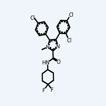 Cn1c(C(=O)NC2CCC(F)(F)CC2)nc(-c2ccc(Cl)cc2Cl)c1-c1ccc(Cl)cc1